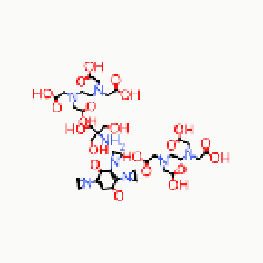 NC(CO)(CO)CO.O=C(O)CN(CCN(CC(=O)O)CC(=O)O)CC(=O)O.O=C(O)CN(CCN(CC(=O)O)CC(=O)O)CC(=O)O.O=C1C=C(N2CC2)C(=O)C(N2CC2)=C1N1CC1